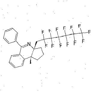 C[C@]12CCC[C@@]1(CC(F)(F)C(F)(F)C(F)(F)C(F)(F)C(F)(F)C(F)(F)F)N=C(c1ccccc1)c1ccccc12